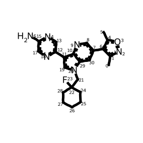 Cc1noc(C)c1-c1cnc2c(-c3cnc(N)cn3)cn(CC3(F)CCCCC3)c2c1